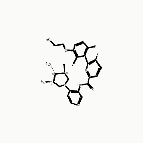 C[C@H]1CN(c2ccncc2NC(=O)c2ccc(F)c(-c3c(F)ccc(OCCO)c3F)n2)C[C@@H](N)[C@@H]1O